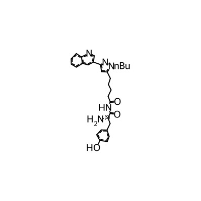 CCCCn1nc(-c2cnc3ccccc3c2)cc1CCCCC(=O)NC(=O)[C@@H](N)Cc1ccc(O)cc1